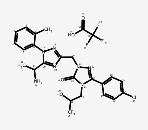 Cc1ccccc1-n1nc(Cn2nc(-c3ccc(Cl)cc3)n(CC(O)C(F)(F)F)c2=O)nc1C(C)N.O=C(O)C(F)(F)F